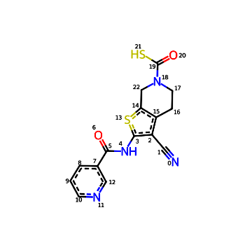 N#Cc1c(NC(=O)c2cccnc2)sc2c1CCN(C(=O)S)C2